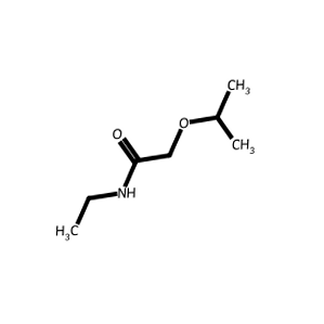 CCNC(=O)COC(C)C